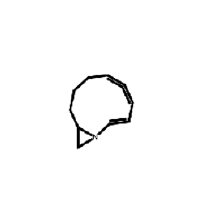 C1=C/C=C/N2CC2CCCC=1